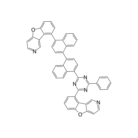 c1ccc(-c2nc(-c3ccc(-c4ccc(-c5cccc6oc7ccncc7c56)c5ccccc45)c4ccccc34)nc(-c3cccc4oc5ccncc5c34)n2)cc1